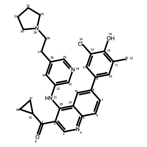 O=C(c1cnc2ccc(-c3cc(F)c(O)c(Cl)c3)cc2c1Nc1cncc(CCN2CCCC2)c1)C1CC1